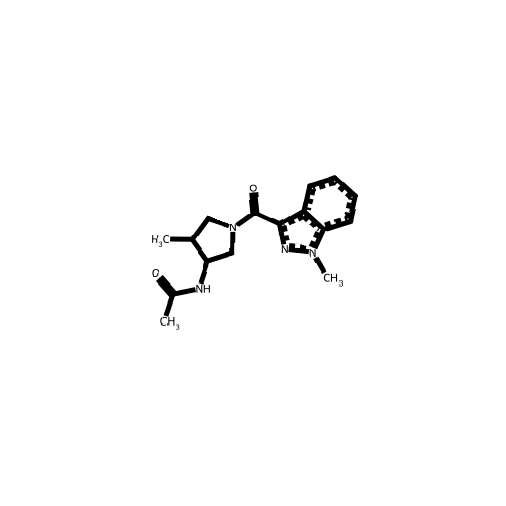 CC(=O)NC1CN(C(=O)c2nn(C)c3ccccc23)CC1C